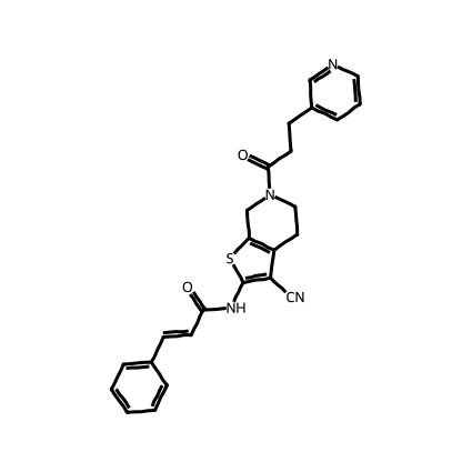 N#Cc1c(NC(=O)C=Cc2ccccc2)sc2c1CCN(C(=O)CCc1cccnc1)C2